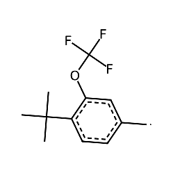 [CH2]c1ccc(C(C)(C)C)c(OC(F)(F)F)c1